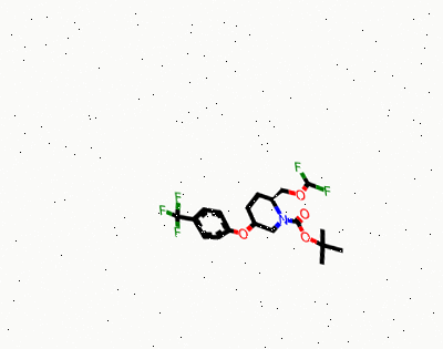 CC(C)(C)OC(=O)N1CC(Oc2ccc(C(F)(F)F)cc2)CC[C@H]1COC(F)F